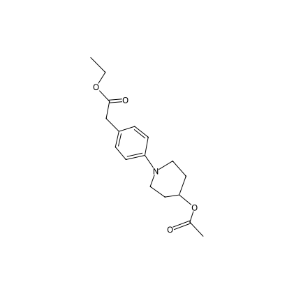 CCOC(=O)Cc1ccc(N2CCC(OC(C)=O)CC2)cc1